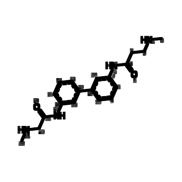 CNCCC(=O)Nc1cccc(-c2cccc(NC(=O)CNC)c2)c1